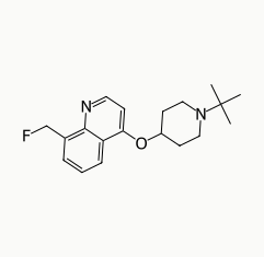 CC(C)(C)N1CCC(Oc2ccnc3c(CF)cccc23)CC1